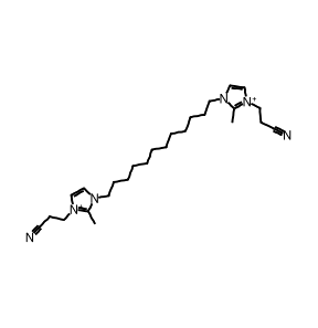 Cc1n(CCCCCCCCCCCCn2cc[n+](CCC#N)c2C)cc[n+]1CCC#N